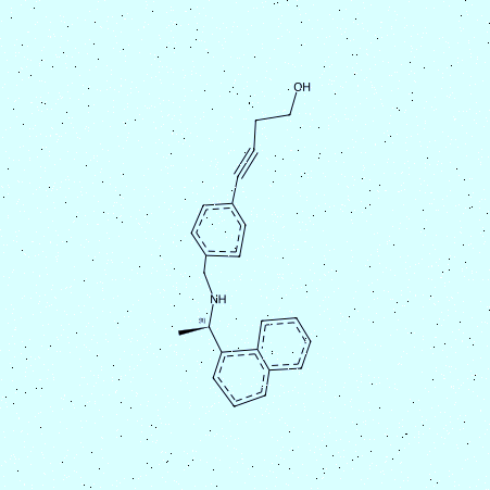 C[C@@H](NCc1ccc(C#CCCO)cc1)c1cccc2ccccc12